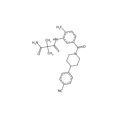 Cc1ccc(C(=O)N2CCC(c3ccc(C#N)cc3)CC2)cc1NC(=S)C(C)(C)C(N)=O